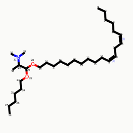 CCCCC/C=C\C/C=C\CCCCCCCCCCOC(OCCCCCC)C(C)N(C)C